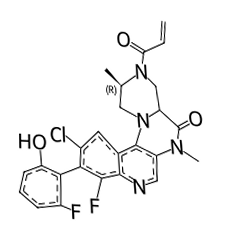 C=CC(=O)N1CC2C(=O)N(C)c3cnc4c(F)c(-c5c(O)cccc5F)c(Cl)cc4c3N2C[C@H]1C